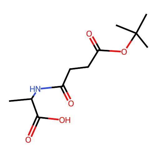 CC(NC(=O)CCC(=O)OC(C)(C)C)C(=O)O